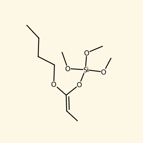 CC=C(OCCCC)O[Si](OC)(OC)OC